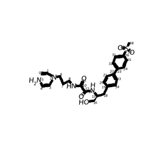 C=CN(/C=C\N)CCCNC(=O)C(=O)N[C@H](CO)Cc1ccc(-c2ccc(S(C)(=O)=O)cc2)cc1